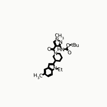 CCn1c(C2CCCN(C(=O)c3cn(C)nc3NC(=O)OC(C)(C)C)C2)cc2cc(C)ccc21